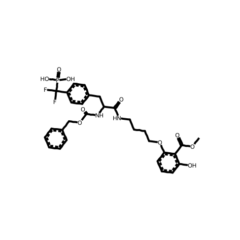 COC(=O)c1c(O)cccc1OCCCCNC(=O)C(Cc1ccc(C(F)(F)P(=O)(O)O)cc1)NC(=O)OCc1ccccc1